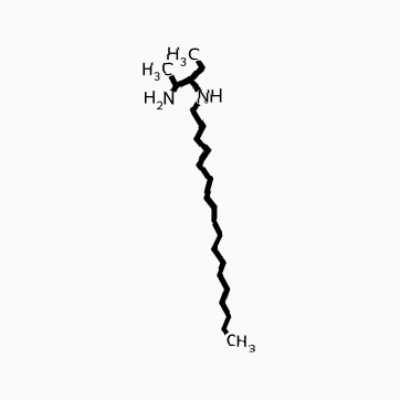 CCCCCCCCCCCCCCCCCCNC(CC)C(C)N